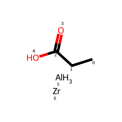 CCC(=O)O.[AlH3].[Zr]